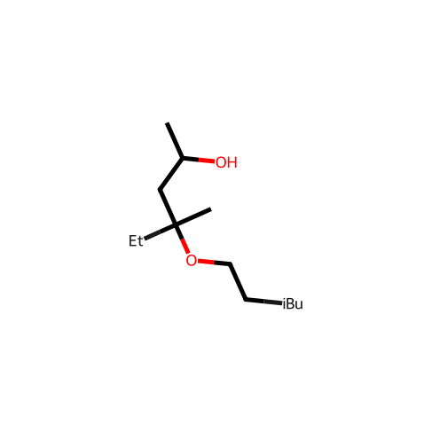 CCC(C)CCOC(C)(CC)CC(C)O